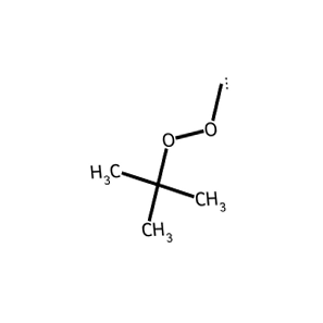 [C]OOC(C)(C)C